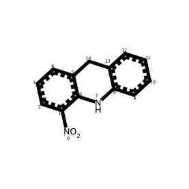 O=[N+]([O-])c1cccc2c1Nc1ccccc1C2